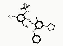 Cc1cc(N2CCCC2)nc(Nc2ccccc2)c1N=Nc1c(NS(=O)(=O)C(F)(F)F)cc([N+](=O)[O-])cc1[N+](=O)[O-]